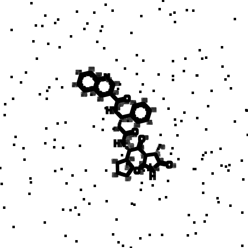 C[C@@H]1C(=O)NC(=O)[C@H]1C(=O)[C@@H](NC(=O)C[C@H](NC(=O)c1cnc2ccccc2c1)c1ccccc1)C1CCCC1